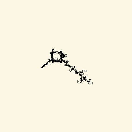 CCCCCCOC(C)c1c(C)c2cc3nc(c4c5[nH]c(cc6nc(cc1[nH]2)C(C)=C6CC)c(C)c5C(=O)C4)[C@@H](CCC(=O)NCCNC(=O)CNCCN(CCN(CCNCC(=O)O)CC(=O)O)CC(=O)O)C3C